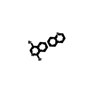 Brc1cnc(Br)c2ccccc12.c1ccc2ncccc2c1